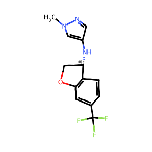 Cn1cc(N[C@H]2COc3cc(C(F)(F)F)ccc32)cn1